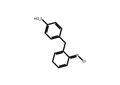 CCN=C1C=CCC=C1Cc1ccc(S(=O)(=O)O)cc1